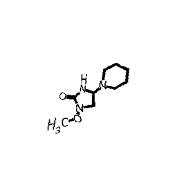 CON1CC(N2CCCCC2)NC1=O